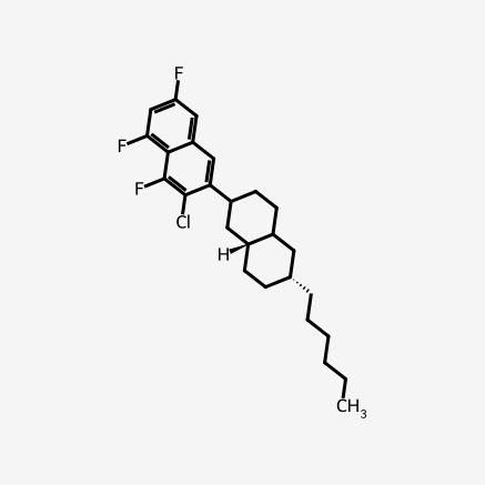 CCCCCC[C@@H]1CC[C@@H]2CC(c3cc4cc(F)cc(F)c4c(F)c3Cl)CCC2C1